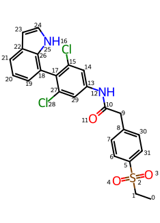 CCS(=O)(=O)c1ccc(CC(=O)Nc2cc(Cl)c(-c3cccc4cc[nH]c34)c(Cl)c2)cc1